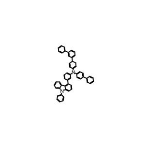 C1=CC(c2cccc(-c3ccccc3)c2)CC=C1N(c1ccc(-c2ccccc2)cc1)c1cccc(-c2cccc3c2c2ccccc2n3-c2ccccc2)c1